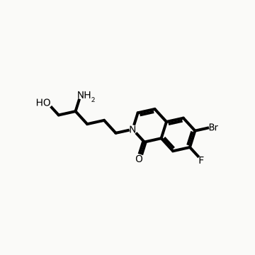 NC(CO)CCCn1ccc2cc(Br)c(F)cc2c1=O